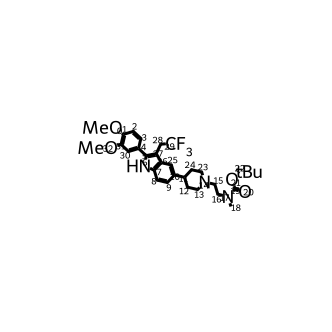 COc1ccc(-c2[nH]c3ccc(C4CCN(CCN(C)C(=O)OC(C)(C)C)CC4)cc3c2CC(F)(F)F)cc1OC